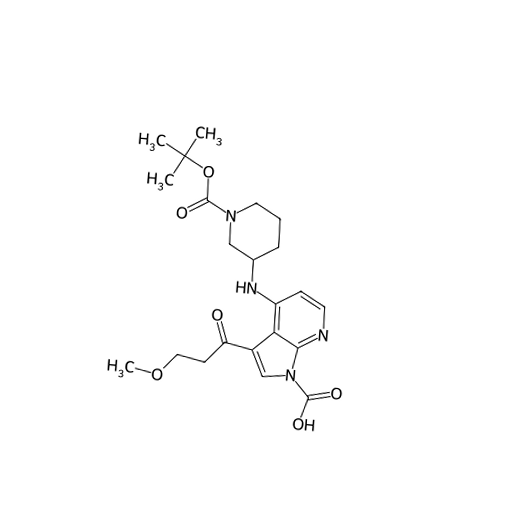 COCCC(=O)c1cn(C(=O)O)c2nccc(NC3CCCN(C(=O)OC(C)(C)C)C3)c12